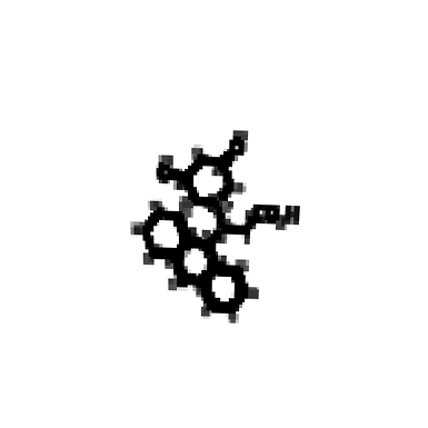 O=C(O)CN(c1c2c(nc3ccccc13)=CCCC=2)N1CC(=O)CC(=O)C1